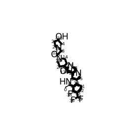 C[C@@H](Nc1ccnc2cnc(C3(O)CCN(C(=O)CN4CC[C@@H](O)C4)CC3)cc12)c1cccc(C(F)F)c1F